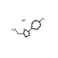 Cl.NCc1csc(-c2ccc(C(F)(F)F)cc2)n1